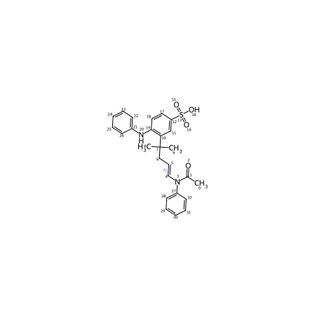 CC(=O)N(/C=C/CC(C)(C)c1cc(S(=O)(=O)O)ccc1Nc1ccccc1)c1ccccc1